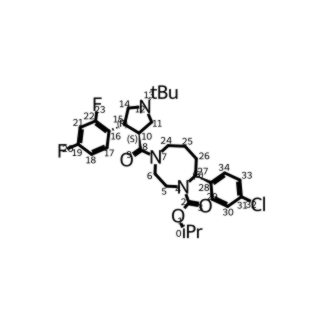 CC(C)OC(=O)N1CCN(C(=O)[C@@H]2CN(C(C)(C)C)C[C@H]2c2ccc(F)cc2F)CCC[C@H]1c1ccc(Cl)cc1